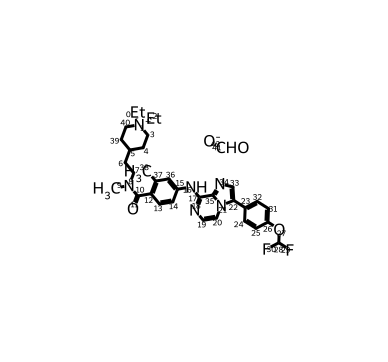 CC[N+]1(CC)CCC(CCN(C)C(=O)c2ccc(Nc3nccn4c(-c5ccc(OC(F)F)cc5)cnc34)cc2C)CC1.O=C[O-]